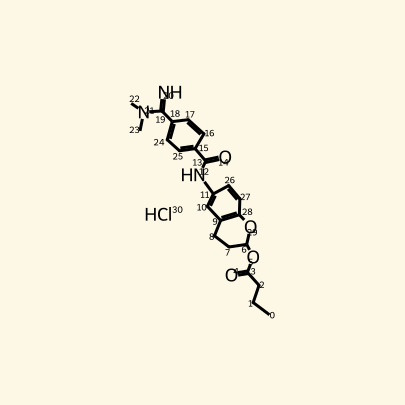 CCCC(=O)OC1CCc2cc(NC(=O)c3ccc(C(=N)N(C)C)cc3)ccc2O1.Cl